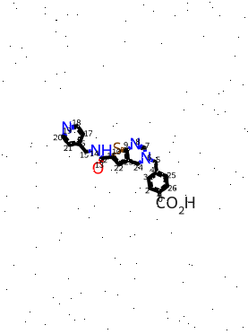 O=C(O)c1ccc(CN2C=Nc3sc(C(=O)NCc4ccncc4)cc3C2)cc1